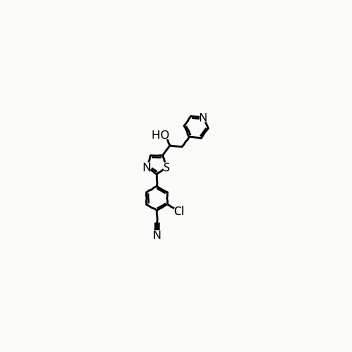 N#Cc1ccc(-c2ncc(C(O)Cc3ccncc3)s2)cc1Cl